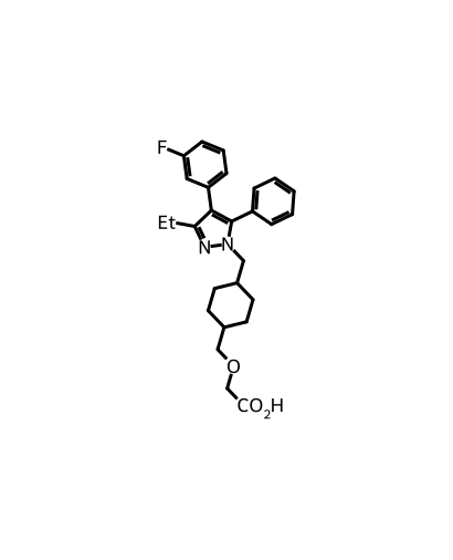 CCc1nn(CC2CCC(COCC(=O)O)CC2)c(-c2ccccc2)c1-c1cccc(F)c1